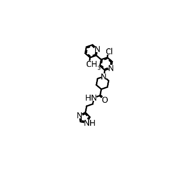 Cc1cccnc1-c1cc(N2CCC(C(=O)NCCc3c[nH]cn3)CC2)ncc1Cl